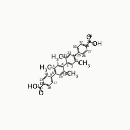 Cc1cc(-c2cc(C)c(-c3ccc(C(=O)O)cc3)cc2C)c(C)cc1-c1ccc(C(=O)O)cc1